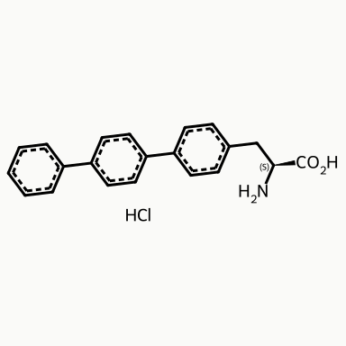 Cl.N[C@@H](Cc1ccc(-c2ccc(-c3ccccc3)cc2)cc1)C(=O)O